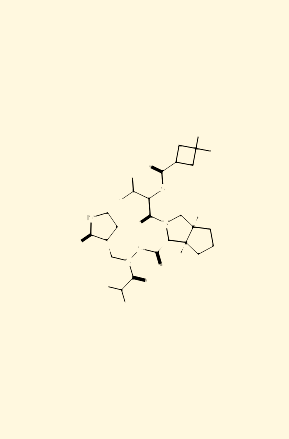 CCC(CC)C(NC(=O)C1CC(F)(F)C1)C(=O)N1C[C@@H]2CCC[C@@H]2[C@H]1C(=O)NN(C[C@@H]1CCNC1=O)C(=O)C(F)Cl